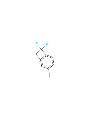 FC1(F)Cc2cc(I)ccc21